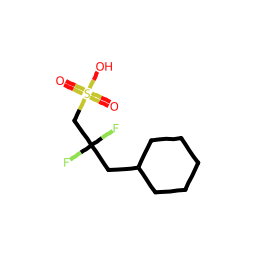 O=S(=O)(O)CC(F)(F)CC1CCCCC1